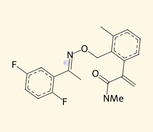 C=C(C(=O)NC)c1cccc(C)c1CO/N=C(\C)c1cc(F)ccc1F